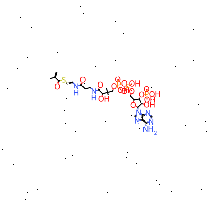 C=C(C)C(=O)SCCNC(=O)CCNC(=O)C(O)C(C)(C)COP(=O)(O)OP(=O)(O)OCC1OC(n2cnc3c(N)ncnc32)C(O)C1OP(=O)(O)O